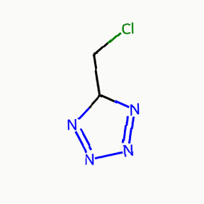 ClCC1N=NN=N1